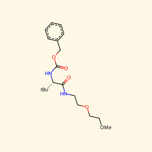 COCCOCCNC(=O)[C@@H](NC(=O)OCc1ccccc1)C(C)(C)C